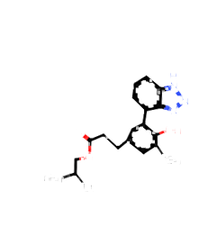 CCCCC(CC)COC(=O)CCc1cc(-c2cccc3[nH]nnc23)c(O)c(C(C)(C)C)c1